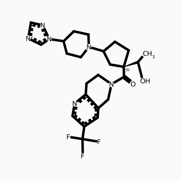 CC(O)[C@]1(C(=O)N2CCc3ncc(C(F)(F)F)cc3C2)CCC(N2CCC(n3cncn3)CC2)C1